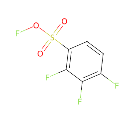 O=S(=O)(OF)c1ccc(F)c(F)c1F